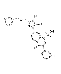 CCn1c(COCc2ccccc2)nn(-c2ccc3c(=O)n(-c4cccc(F)c4)cc(C(C)(C)O)c3c2)c1=O